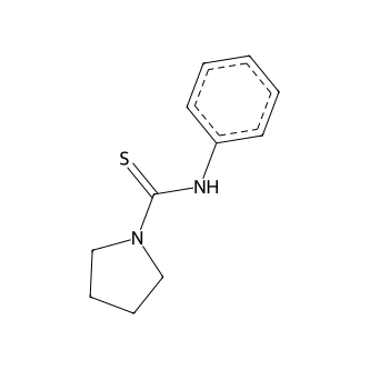 S=C(Nc1ccccc1)N1CCCC1